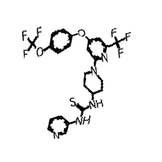 FC(F)(F)Oc1ccc(Oc2cc(N3CCC(NC(=S)Nc4cccnc4)CC3)nc(C(F)(F)F)c2)cc1